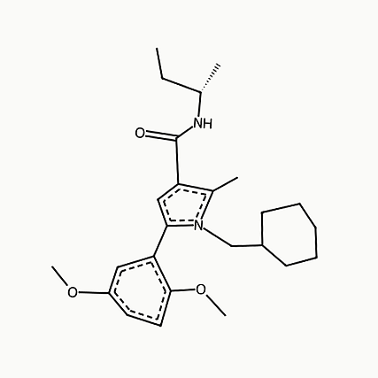 CC[C@H](C)NC(=O)c1cc(-c2cc(OC)ccc2OC)n(CC2CCCCC2)c1C